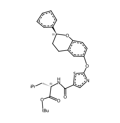 CC(C)C[C@H](NC(=O)c1cnc(Oc2ccc3c(c2)CC[C@@H](c2ccccc2)O3)s1)C(=O)OC(C)(C)C